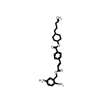 C=CCCCC1CCC(OC(=O)c2ccc(/C=C/C(=O)OCc3cc(N)ccc3N)cc2)CC1